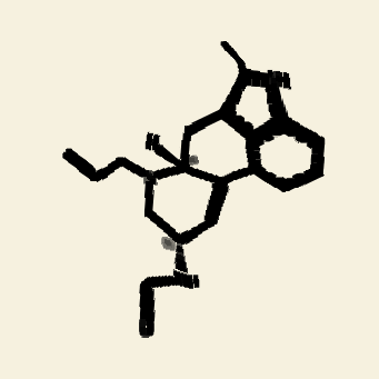 C=CCN1C[C@@H](NC=O)C=C2c3cccc4[nH]c(C)c(c34)C[C@H]21